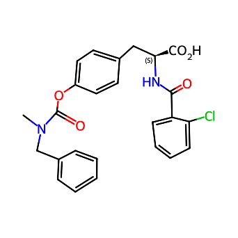 CN(Cc1ccccc1)C(=O)Oc1ccc(C[C@H](NC(=O)c2ccccc2Cl)C(=O)O)cc1